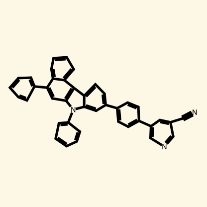 N#Cc1cncc(-c2ccc(-c3ccc4c5c6ccccc6c(-c6ccccc6)cc5n(-c5ccccc5)c4c3)cc2)c1